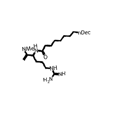 C=C(NC)C(CCCNC(=N)N)NC(=O)CCCCCCCCCCCCCCCCC